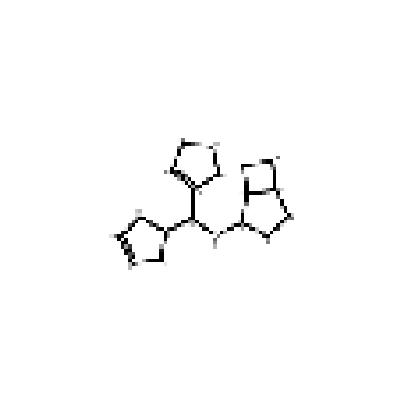 C1=CCC(C(SC2CCC3CCC32)C2=CCCC2)C1